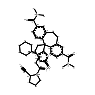 C[C@H](CC1(c2nc(=O)on2C2CCCCC2)c2ccc(C(=O)N(C)C)cc2CCc2cc(C(=O)N(C)C)ccc21)NCC(=O)N1CCCC1C#N